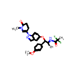 CC(C)C(NC(=O)C(C)(F)F)C(Oc1ccc2c(cnn2-c2ccc(=O)n(C)c2)c1)c1ccc(OC(F)(F)F)cc1